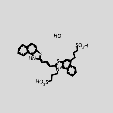 O=S(=O)(O)CCCc1cc2sc(C=CC=C3Nc4c(ccc5ccccc45)S3)[n+](CCCS(=O)(=O)O)c2c2ccccc12.[OH-]